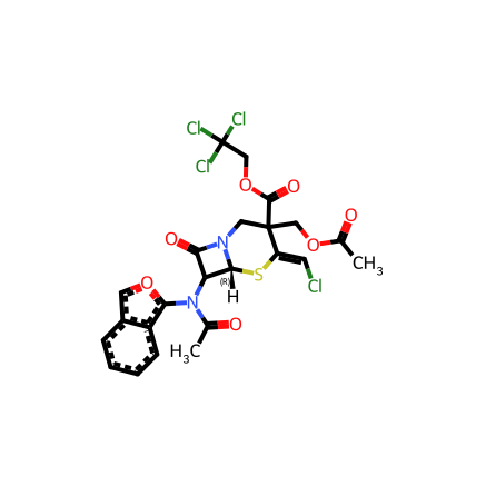 CC(=O)OCC1(C(=O)OCC(Cl)(Cl)Cl)CN2C(=O)C(N(C(C)=O)c3occ4ccccc34)[C@H]2SC1=CCl